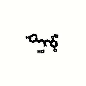 CCOc1ccc(Cl)cc1CNCCN1CCNCC1.Cl